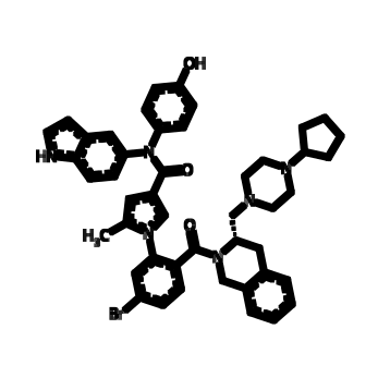 Cc1cc(C(=O)N(c2ccc(O)cc2)c2ccc3[nH]ccc3c2)cn1-c1cc(Br)ccc1C(=O)N1Cc2ccccc2C[C@H]1CN1CCN(C2CCCC2)CC1